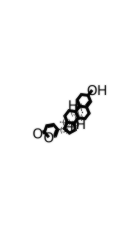 C[C@]12CC[C@H]3[C@@H](CCC4=CC(O)CC[C@@]43C)[C@H]1CC[C@@H]2c1ccc(=O)oc1